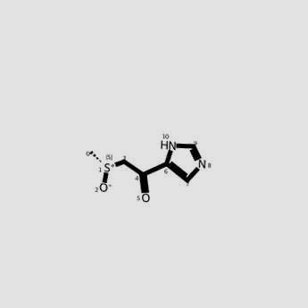 C[S@@+]([O-])CC(=O)c1cnc[nH]1